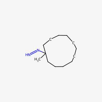 CC1(N=N)CCCCCCCCCCC1